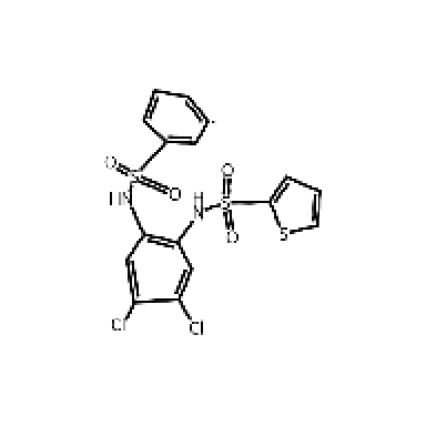 O=S(=O)(Nc1cc(Cl)c(Cl)cc1NS(=O)(=O)c1cccs1)c1c[c]ccc1